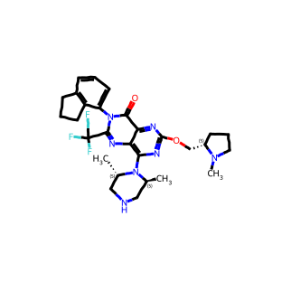 C[C@H]1CNC[C@H](C)N1c1nc(OC[C@@H]2CCCN2C)nc2c(=O)n(-c3cccc4c3CCC4)c(C(F)(F)F)nc12